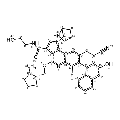 CN1CCC[C@H]1COc1nc2c(F)c(-c3cc(O)cc4ccccc34)c(CCC#N)cc2c2c1c(C(=O)NCCO)cn2C1C2CNC1C2